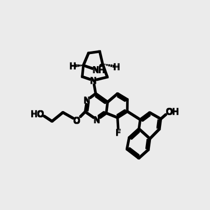 OCCOc1nc(N2C[C@H]3CC[C@@H](C2)N3)c2ccc(-c3cc(O)cc4ccccc34)c(F)c2n1